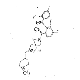 CN1CCC(CNCC2(O)CN(C(=O)c3ccc(F)c(F)c3Nc3ccc(I)cc3F)C2)CC1